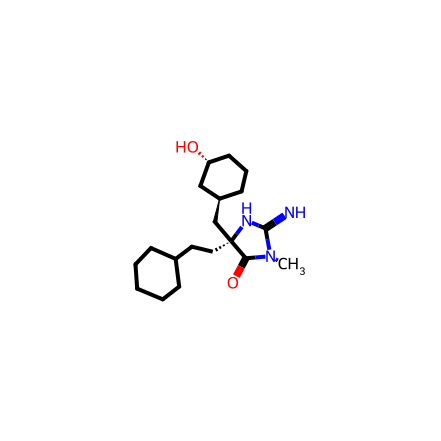 CN1C(=N)N[C@](CCC2CCCCC2)(C[C@@H]2CCC[C@@H](O)C2)C1=O